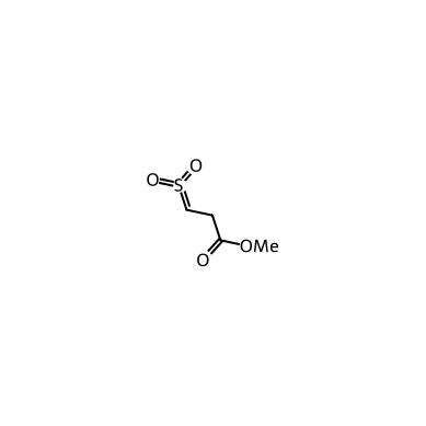 COC(=O)CC=S(=O)=O